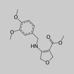 COC(=O)C1=C(NCc2ccc(OC)c(OC)c2)COC1